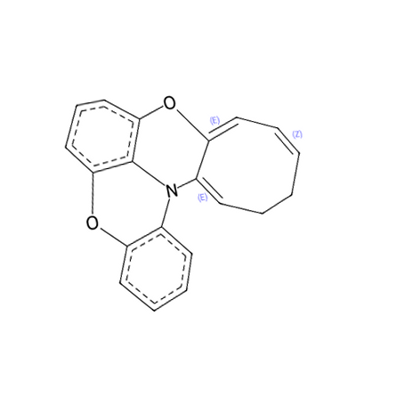 C1=C/CC\C=C2/C(=C\1)Oc1cccc3c1N2c1ccccc1O3